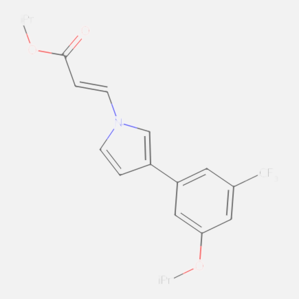 CC(C)OC(=O)/C=C/n1ccc(-c2cc(OC(C)C)cc(C(F)(F)F)c2)c1